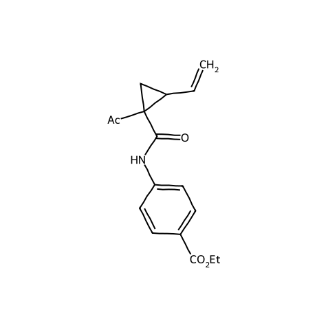 C=CC1CC1(C(C)=O)C(=O)Nc1ccc(C(=O)OCC)cc1